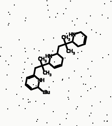 CC(C)(C)C1C=CC=C(CC(C)(C)C2C=CCC(CC(C)(C)C3CC=CCN3)N2)N1